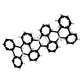 c1ccc2c(c1)-c1ccccc1N1c3cccc4c3-c3c(cccc3N3c5cccc6c5-c5c(cccc5N5c7ccccc7-c7ccccc7C65)C43)C21